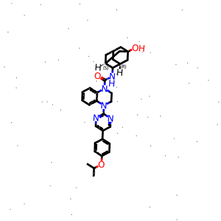 CC(C)Oc1ccc(-c2cnc(N3CCN(C(=O)NC4[C@@H]5CC6C[C@H]4CC(O)(C6)C5)c4ccccc43)nc2)cc1